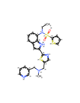 CCN(c1cccc2cc(-c3ncc(CN(C)Cc4cccnc4)s3)[nH]c12)S(=O)(=O)c1cccs1